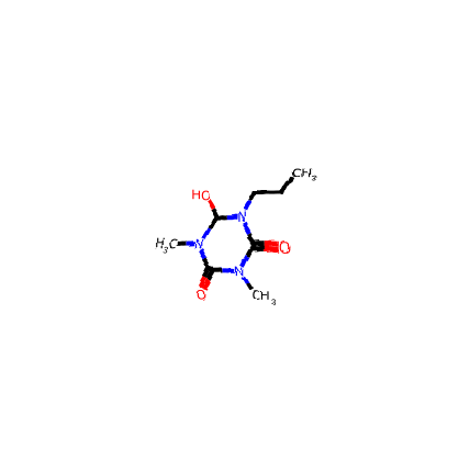 CCCN1C(=O)N(C)C(=O)N(C)C1O